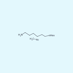 CC(C)=O.CCCCCCCCCCCCN